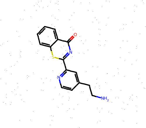 NCCc1ccnc(-c2nc(=O)c3ccccc3s2)c1